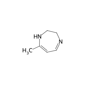 CC1=CC=NCCN1